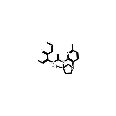 C=C(/C=C\C)/C(=C\C)NC(=C)N1c2nc(C)ccc2N2CC[C@H]1C2